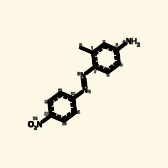 Cc1cc(N)ccc1N=Nc1ccc([N+](=O)[O-])cc1